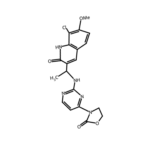 COc1ccc2cc(C(C)Nc3nccc(N4CCOC4=O)n3)c(=O)[nH]c2c1Cl